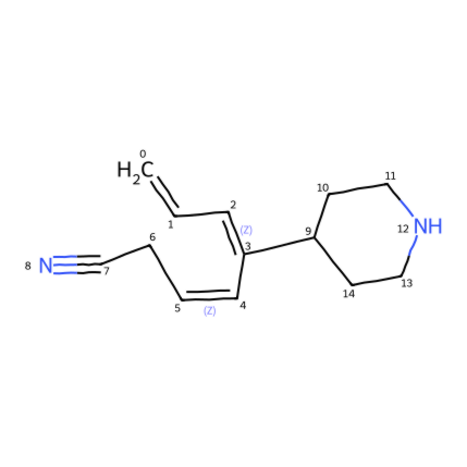 C=C/C=C(\C=C/CC#N)C1CCNCC1